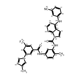 Cc1cn(-c2cc(C(=O)Nc3ccc(C)c(NC(=O)n4ccc5c(Nc6cccc(C#N)c6)ncnc54)c3)cc(C(F)(F)F)c2)cn1